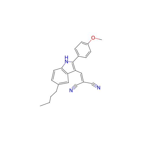 CCCCc1ccc2[nH]c(-c3ccc(OC)cc3)c(C=C(C#N)C#N)c2c1